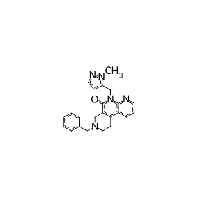 Cn1nccc1Cn1c(=O)c2c(c3cccnc31)CCN(Cc1ccccc1)C2